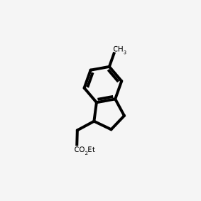 CCOC(=O)CC1CCc2cc(C)ccc21